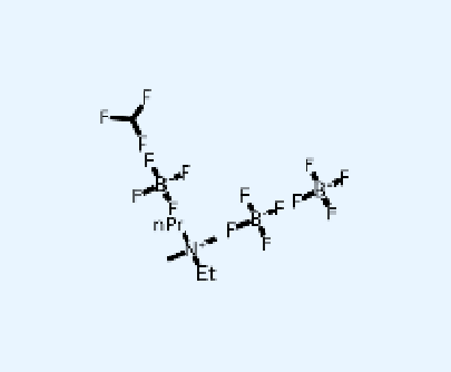 CCC[N+](C)(C)CC.FC(F)F.F[B-](F)(F)F.F[B-](F)(F)F.F[B-](F)(F)F